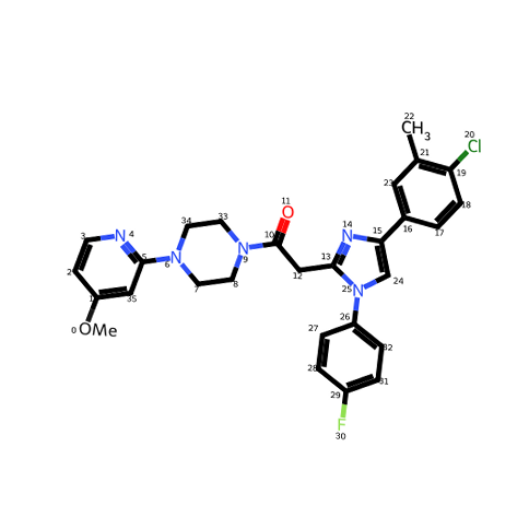 COc1ccnc(N2CCN(C(=O)Cc3nc(-c4ccc(Cl)c(C)c4)cn3-c3ccc(F)cc3)CC2)c1